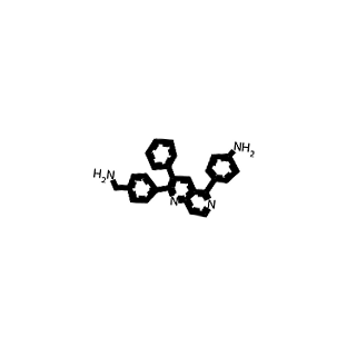 NCc1ccc(-c2nc3ccnc(-c4ccc(N)cc4)c3cc2-c2ccccc2)cc1